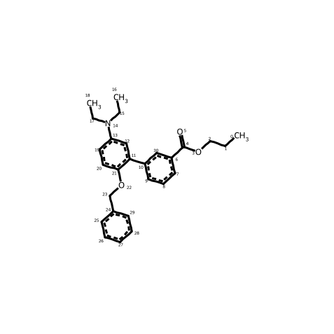 CCCOC(=O)c1cccc(-c2cc(N(CC)CC)ccc2OCc2ccccc2)c1